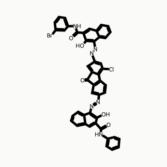 O=C(Nc1ccccc1)c1cc2ccccc2c(N=Nc2ccc3c(c2)C(=O)c2cc(N=Nc4c(O)c(C(=O)Nc5cccc(Br)c5)cc5ccccc45)cc(Cl)c2-3)c1O